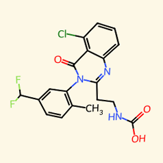 Cc1ccc(C(F)F)cc1-n1c(CCNC(=O)O)nc2cccc(Cl)c2c1=O